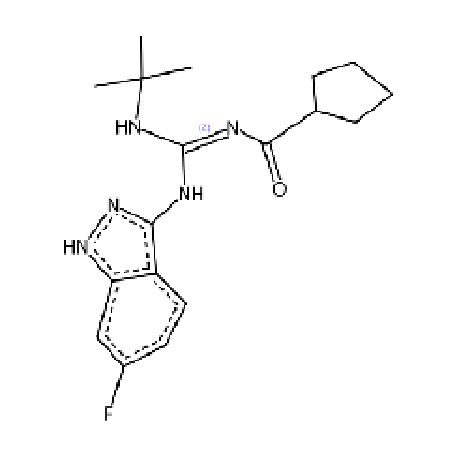 CC(C)(C)N/C(=N/C(=O)C1CCCC1)Nc1n[nH]c2cc(F)ccc12